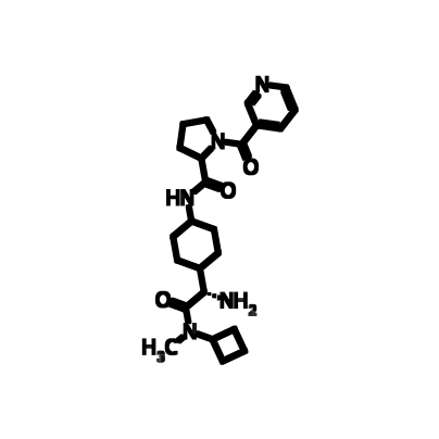 CN(C(=O)[C@@H](N)C1CCC(NC(=O)C2CCCN2C(=O)c2cccnc2)CC1)C1CCC1